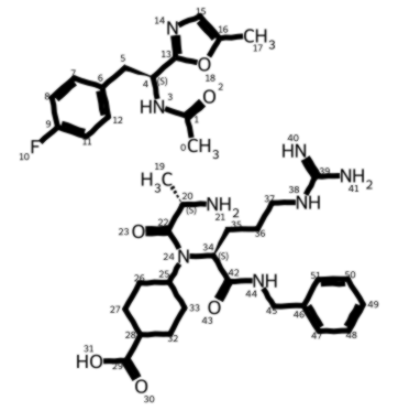 CC(=O)N[C@@H](Cc1ccc(F)cc1)c1ncc(C)o1.C[C@H](N)C(=O)N(C1CCC(C(=O)O)CC1)[C@@H](CCCNC(=N)N)C(=O)NCc1ccccc1